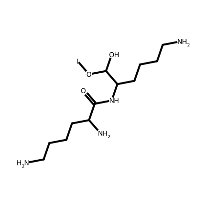 NCCCCC(N)C(=O)NC(CCCCN)C(O)OI